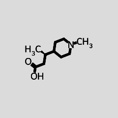 C[C@H](CC(=O)O)C1CCN(C)CC1